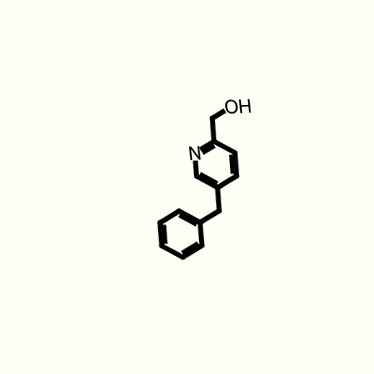 OCc1ccc(Cc2ccccc2)cn1